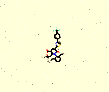 CCc1cccc(CC)c1-n1c2c(cc(-c3nc(-c4ccc(C(F)(F)F)cc4)cs3)c1=O)C(=O)OC(C)(C)C2